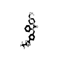 CCN1CCN(C(=O)N(Cc2ccc(-c3nnc(C(F)(F)F)o3)cc2)c2ccccc2)CC1